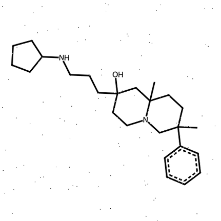 CC1(c2ccccc2)CCC2(C)CC(O)(CCCNC3CCCC3)CCN2C1